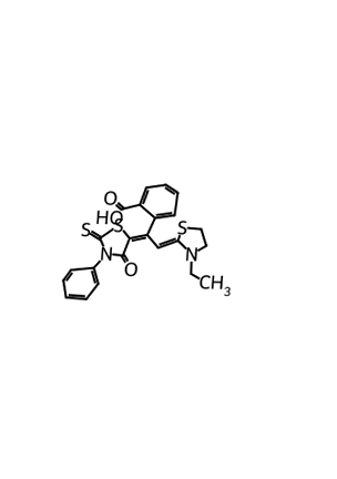 CCN1CCSC1=CC(=C1SC(=S)N(c2ccccc2)C1=O)c1ccccc1C(=O)O